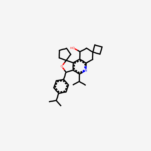 CC(C)c1ccc(C2OC3(CCCC3)c3c4c(nc(C(C)C)c32)CC2(CCC2)CC4O)cc1